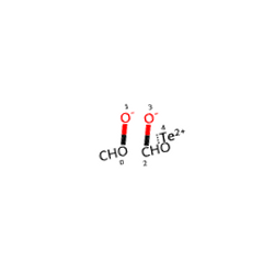 O=C[O-].O=C[O-].[Te+2]